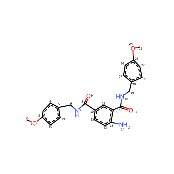 COc1ccc(CNC(=O)c2ccc(N)c(C(=O)NCc3ccc(OC)cc3)c2)cc1